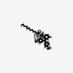 CCCCCCCCCCCC(=O)NC(=S)Nc1ccc(C)cc1C(c1ccc(N(C)C)cc1)c1ccc(N(C)C)cc1